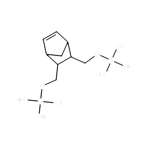 C[Si](C)(C)OCC1C2C=CC(C2)C1CO[Si](C)(C)C